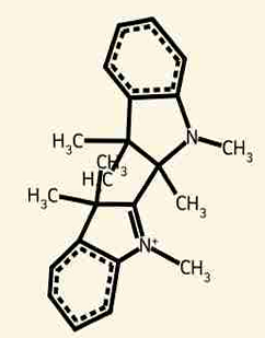 CN1c2ccccc2C(C)(C)C1(C)C1=[N+](C)c2ccccc2C1(C)C